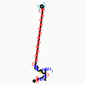 CCCN(CCCNC(=O)OC1CCC1)C(=O)C1=Cc2sc(CN3CCN(C(=O)CCOCCOCCOCCOCCOCCOCCOCCOCCOCCOCCOCCC(=O)Oc4c(F)c(F)cc(F)c4F)CC3)cc2N=C(N)C1